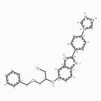 FCC(COCc1ccccc1)Oc1ccc2nc(-c3ccc(-n4cnnc4)cc3)oc2c1